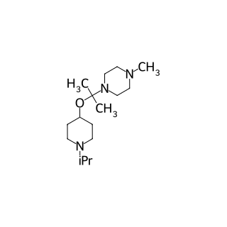 CC(C)N1CCC(OC(C)(C)N2CCN(C)CC2)CC1